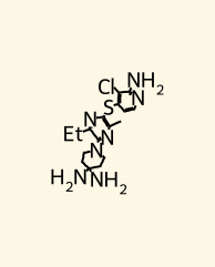 CCc1nc(Sc2ccnc(N)c2Cl)c(C)nc1N1CCC(N)(N)CC1